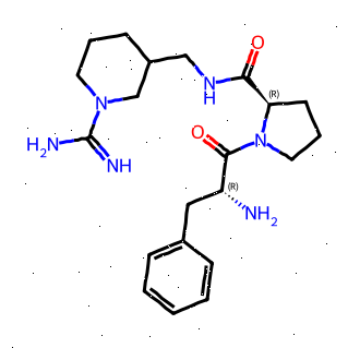 N=C(N)N1CCCC(CNC(=O)[C@H]2CCCN2C(=O)[C@H](N)Cc2ccccc2)C1